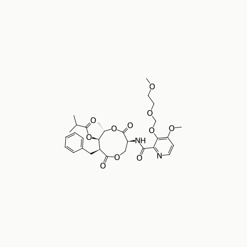 COCCOCOc1c(OC)ccnc1C(=O)N[C@H]1COC(=O)[C@@H](Cc2ccccc2)[C@@H](OC(=O)C(C)C)[C@H](C)OC1=O